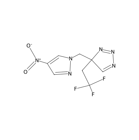 O=[N+]([O-])c1cnn(CC2(CC(F)(F)F)C=NN=N2)c1